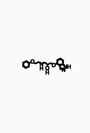 OC(CNCCOc1ccccc1)COc1cccc2[nH]ncc12